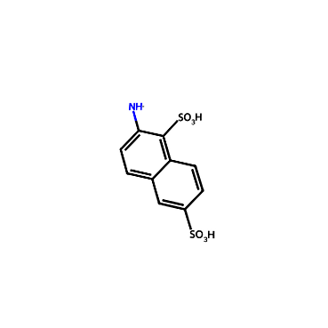 [NH]c1ccc2cc(S(=O)(=O)O)ccc2c1S(=O)(=O)O